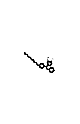 CCCCCCCCCCC1CCC(C(CC2CC=CCC2)c2ccc(F)c(F)c2)CC1